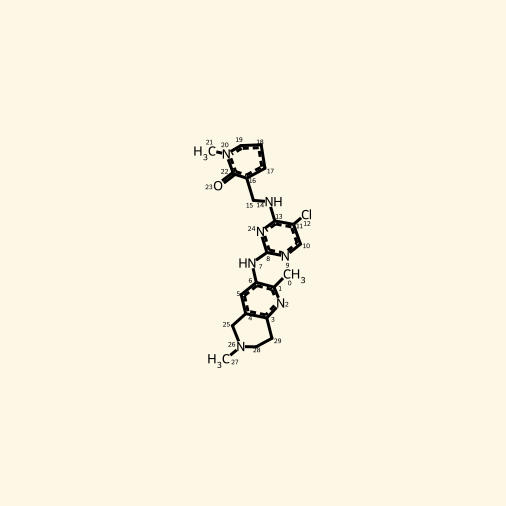 Cc1nc2c(cc1Nc1ncc(Cl)c(NCc3cccn(C)c3=O)n1)CN(C)CC2